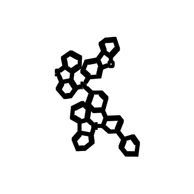 C1=C(c2ccccc2)CC(n2c3ccccc3c3ccccc32)C(c2ccc(N(c3ccc4c(c3)oc3ccccc34)c3cccc4sc5ccccc5c34)cc2)=C1